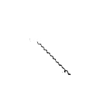 CCCC(=O)CCCCCCCCCCCCCCCCCCC(=O)O